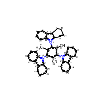 Cc1c(-n2c3c(c4ccccc42)CCC=C3)c(C#N)c(-n2c3ccccc3c3ccccc32)c(C#N)c1-n1c2ccccc2c2ccccc21